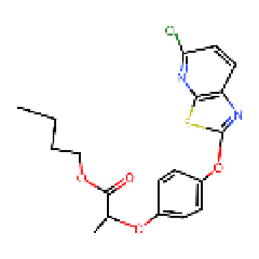 CCCCOC(=O)C(C)Oc1ccc(Oc2nc3ccc(Cl)nc3s2)cc1